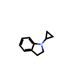 c1ccc2c(c1)CCN2C1CC1